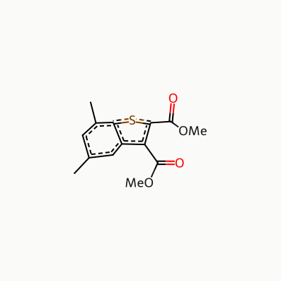 COC(=O)c1sc2c(C)cc(C)cc2c1C(=O)OC